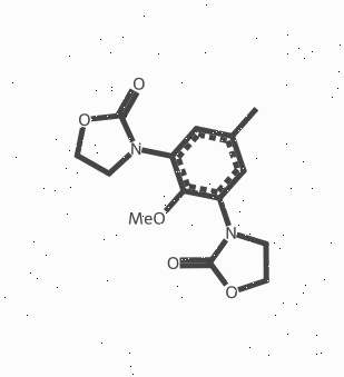 COc1c(N2CCOC2=O)cc(C)cc1N1CCOC1=O